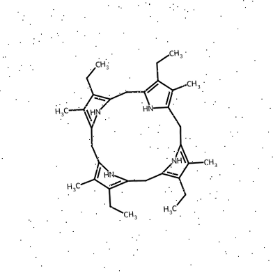 CCc1c2[nH]c(c1C)Cc1[nH]c(c(CC)c1C)Cc1[nH]c(c(C)c1CC)Cc1[nH]c(c(CC)c1C)C2